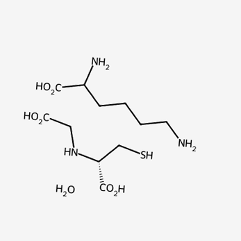 NCCCCC(N)C(=O)O.O.O=C(O)CN[C@H](CS)C(=O)O